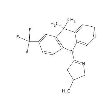 CC1CN=C(N2c3ccccc3C(C)(C)c3cc(C(F)(F)F)ccc32)C1